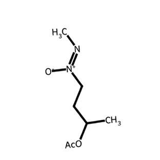 C/N=[N+](\[O-])CCC(C)OC(C)=O